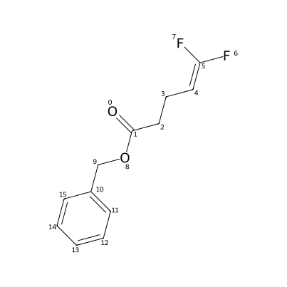 O=C(CCC=C(F)F)OCc1ccccc1